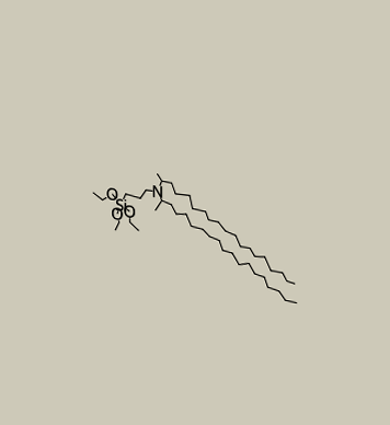 CCCCCCCCCCCCCCCCCC(C)N(CCC[Si](OCC)(OCC)OCC)C(C)CCCCCCCCCCCCCCCCC